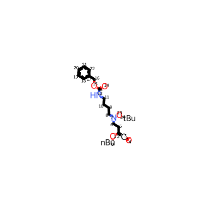 CCCCOC(=C=O)CCN(CCCCNC(=O)OCc1ccccc1)OC(C)(C)C